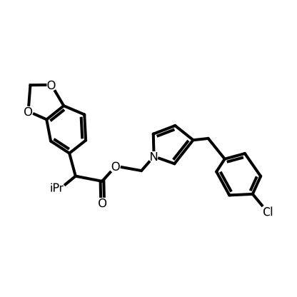 CC(C)C(C(=O)OCn1ccc(Cc2ccc(Cl)cc2)c1)c1ccc2c(c1)OCO2